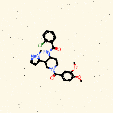 COc1ccc(C(=O)N2CCC(NC(=O)c3ccccc3Cl)C(c3ccnn3C)C2)cc1OC